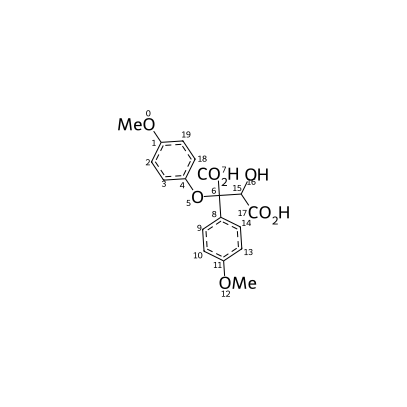 COc1ccc(OC(C(=O)O)(c2ccc(OC)cc2)C(O)C(=O)O)cc1